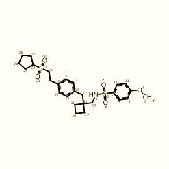 COc1ccc(S(=O)(=O)NCC2(Cc3ccc(CCS(=O)(=O)C4CCCC4)cc3)CCC2)cc1